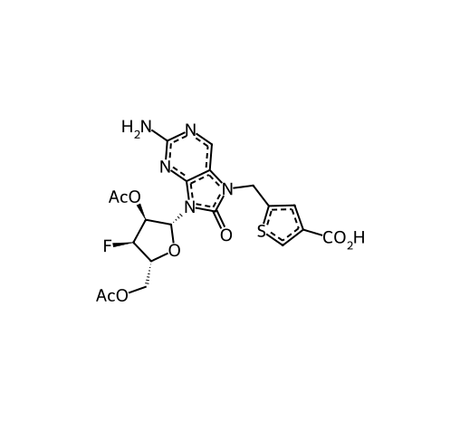 CC(=O)OC[C@H]1O[C@@H](n2c(=O)n(Cc3cc(C(=O)O)cs3)c3cnc(N)nc32)[C@H](OC(C)=O)[C@@H]1F